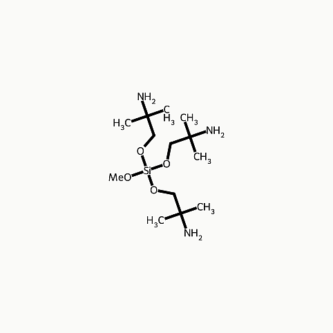 CO[Si](OCC(C)(C)N)(OCC(C)(C)N)OCC(C)(C)N